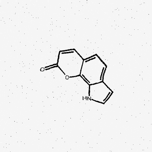 O=c1ccc2ccc3cc[nH]c3c2o1